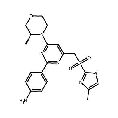 Cc1csc(S(=O)(=O)Cc2cc(N3CCOC[C@@H]3C)nc(-c3ccc(N)cc3)n2)n1